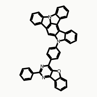 c1ccc(-c2nc(-c3ccc(-n4c5ccccc5c5c6c7ccccc7n7c8ccccc8c(cc54)c67)cc3)c3oc4ccccc4c3n2)cc1